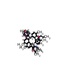 C=C/C=C\c1c(C)ccc2c1-c1c(ccc(C)c1/C=C\C=C)N(C(/C=C\C)=C/C)C1(C)C(C(/C=C\C)=C/C)=CC(C)C3=C1C(C)(C(C(/C=C\C)=C/C=C)=CC3C)N2/C(C=C)=C/C